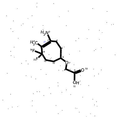 C/C1=C(\N)CCC(OCC(=O)O)CCC1(F)F